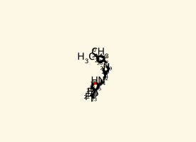 CC(C)c1ccc(CN2CC3C(CNCc4cccc(OC(F)(F)F)c4)C3C2)cc1